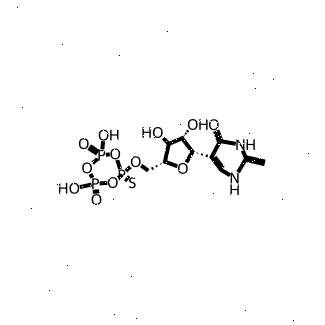 C=C1NC=C([C@@H]2O[C@H](COP3(=S)OP(=O)(O)OP(=O)(O)O3)C(O)[C@@H]2O)C(=O)N1